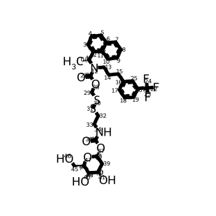 C[C@H](c1cccc2ccccc12)N(CCCc1cccc(C(F)(F)F)c1)C(=O)OCSSCCNC(=O)O[C@H]1C[C@@H](O)[C@H](O)[C@@H](CO)O1